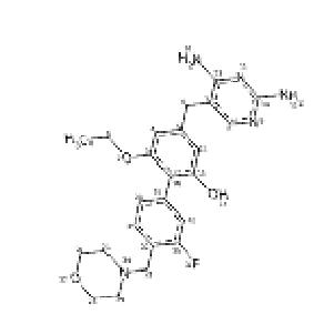 CCOc1cc(Cc2cnc(N)nc2N)cc(O)c1-c1ccc(CN2CCOCC2)c(F)c1